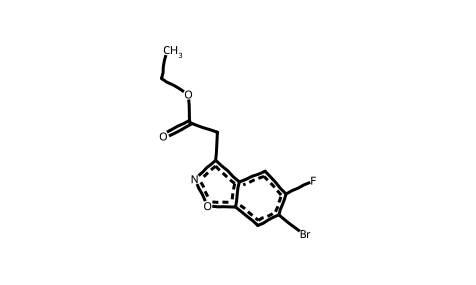 CCOC(=O)Cc1noc2cc(Br)c(F)cc12